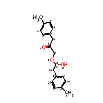 Cc1ccc(CC(=O)CO[C@H](O)Cc2ccc(C)cc2)cc1